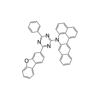 c1ccc(-c2nc(-c3ccc4c(c3)oc3ccccc34)nc(N3c4cc5ccccc5cc4-c4cccc5cccc3c45)n2)cc1